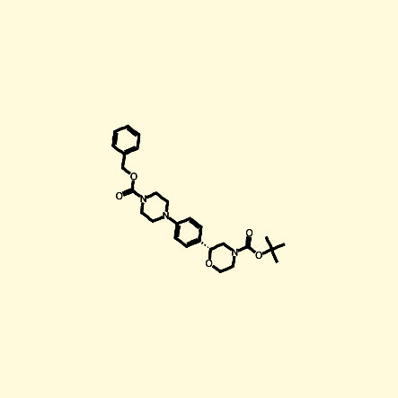 CC(C)(C)OC(=O)N1CCO[C@H](c2ccc(N3CCN(C(=O)OCc4ccccc4)CC3)cc2)C1